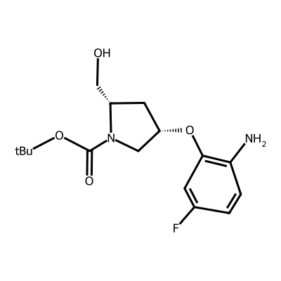 CC(C)(C)OC(=O)N1C[C@@H](Oc2cc(F)ccc2N)C[C@H]1CO